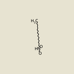 CCCCCCCCCCCCCCCCCC(=O)NCC=O